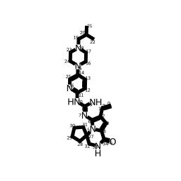 C=Cc1cc2n(c1/N=C(\N)Nc1ccc(N3CCN(CC(C)C)CC3)cn1)C1(CCCC1)CNC2=O